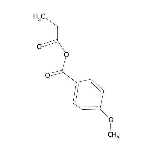 CCC(=O)OC(=O)c1ccc(OC)cc1